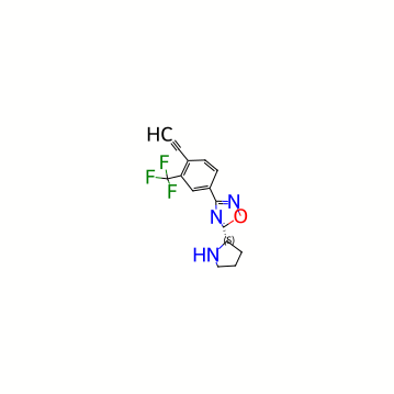 C#Cc1ccc(-c2noc([C@@H]3CCCN3)n2)cc1C(F)(F)F